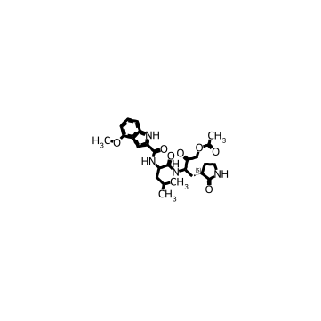 COc1cccc2[nH]c(C(=O)NC(CC(C)C)C(=O)NC(C[C@@H]3CCNC3=O)C(=O)COC(C)=O)cc12